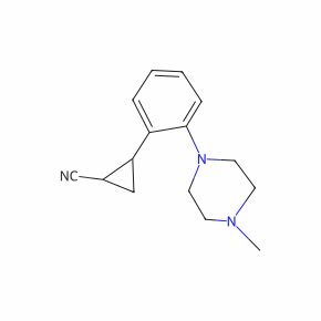 CN1CCN(c2ccccc2C2CC2C#N)CC1